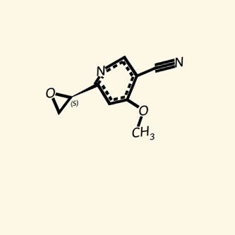 COc1cc([C@H]2CO2)ncc1C#N